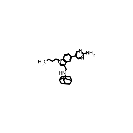 CCCCn1cc(CNC23CC4CC(CC(C4)C2)C3)c2cc(-c3cnc(N)nc3)ccc21